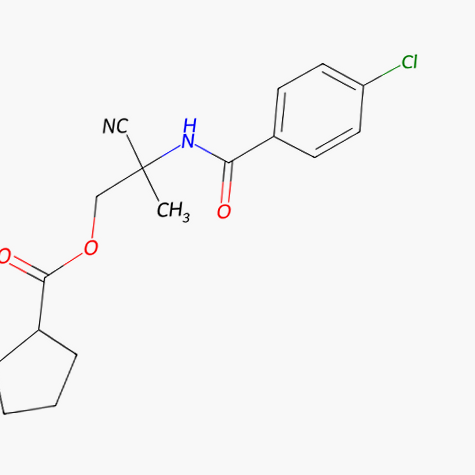 CC(C#N)(COC(=O)C1CCCC1)NC(=O)c1ccc(Cl)cc1